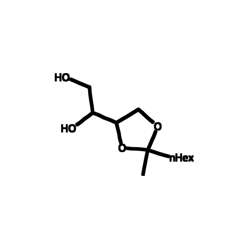 CCCCCCC1(C)OCC(C(O)CO)O1